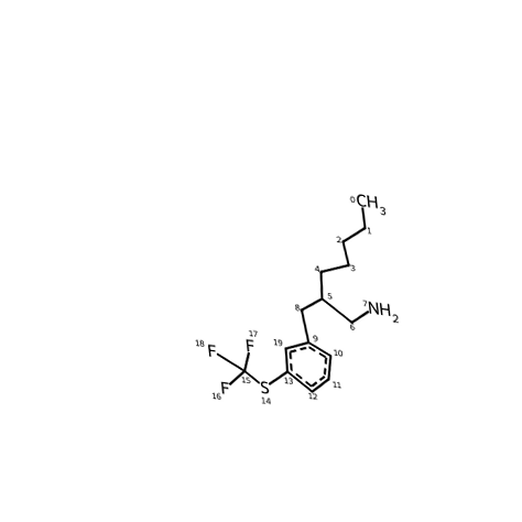 CCCCCC(CN)Cc1cccc(SC(F)(F)F)c1